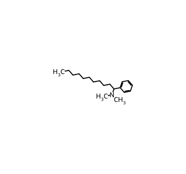 CCCCCCCCCCC(c1ccccc1)N(C)C